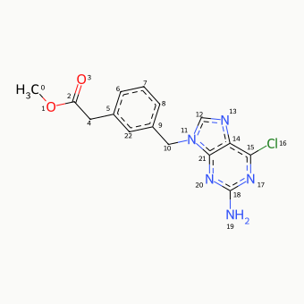 COC(=O)Cc1cccc(Cn2cnc3c(Cl)nc(N)nc32)c1